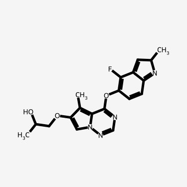 Cc1c(OCC(C)O)cn2ncnc(Oc3ccc4c(c3F)=CC(C)N=4)c12